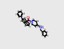 O=C(N1CCC(NCc2ccccc2)CC1)C12CC3CC1CC3(c1ccccc1)C2